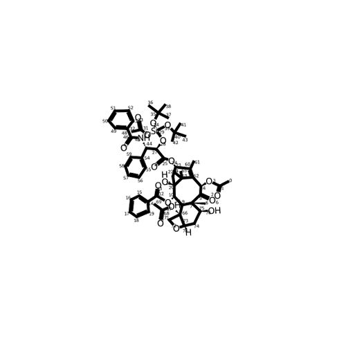 CC(=O)O[C@H]1C(=O)[C@@]2(C)[C@H]([C@H](OC(=O)c3ccccc3)[C@]3(O)C[C@H](OC(=O)[C@H](O[Si](OC(C)=O)(OC(C)(C)C)OC(C)(C)C)[C@@H](NC(=O)c4ccccc4)c4ccccc4)C(C)=C1C3(C)C)[C@]1(OC(C)=O)CO[C@@H]1C[C@@H]2O